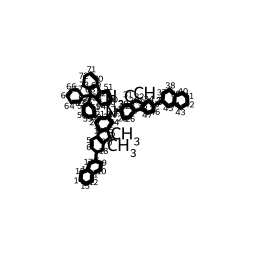 CC1(C)C2=C(C=CC(c3ccc4ccccc4c3)C2)c2ccc(N(c3ccc4c(c3)C(C)(C)c3cc(-c5ccc6ccccc6c5)ccc3-4)c3ccc4c(c3)C(c3ccccc3)(C3C=CC=CC3)C3=C4C=CCC3)cc21